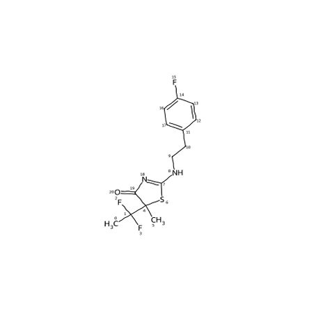 CC(F)(F)C1(C)SC(NCCc2ccc(F)cc2)=NC1=O